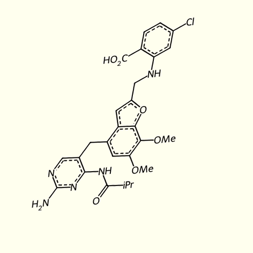 COc1cc(Cc2cnc(N)nc2NC(=O)C(C)C)c2cc(CNc3cc(Cl)ccc3C(=O)O)oc2c1OC